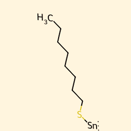 CCCCCCCC[S][Sn]